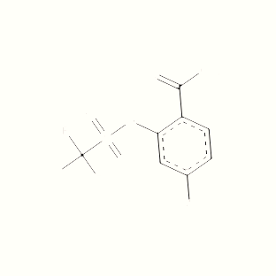 CC(=O)c1ccc(Cl)cc1OS(=O)(=O)C(F)(F)F